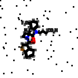 CC1(C(=O)N(CCCC(=O)O)c2cccc(C(F)(F)F)c2)CCN1C(=O)c1csc2ccccc12